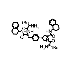 CC(C)(C)C(N)C(=O)N[C@@H](Cc1ccc([C@H]2C[C@@H](C(=O)NC3CCCc4ccccc43)N(C(=O)[C@@H](N)C(C)(C)C)C2)cc1)C(=O)NC1CCCc2ccccc21